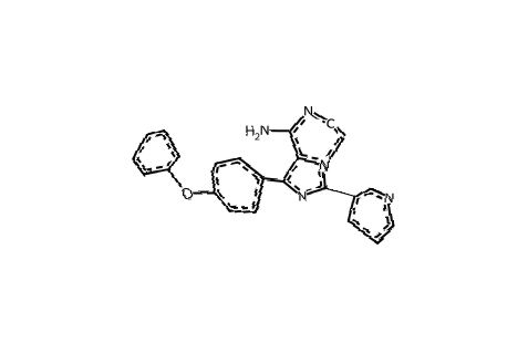 Nc1nccn2c(-c3cccnc3)nc(-c3ccc(Oc4ccccc4)cc3)c12